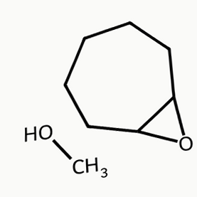 C1CCC2OC2CC1.CO